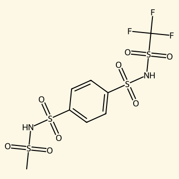 CS(=O)(=O)NS(=O)(=O)c1ccc(S(=O)(=O)NS(=O)(=O)C(F)(F)F)cc1